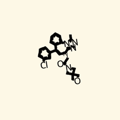 Cc1nnc2n1-c1ccccc1C(c1cccc(Cl)c1)=C[C@H]2CC(=O)N1CC2(COC2)C1